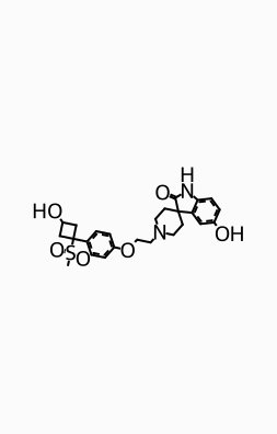 CS(=O)(=O)C1(c2ccc(OCCN3CCC4(CC3)C(=O)Nc3ccc(O)cc34)cc2)CC(O)C1